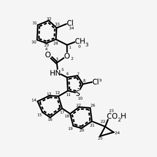 CC(OC(=O)Nc1cc(Cl)sc1-c1ccccc1-c1ccc(C2(C(=O)O)CC2)cc1)c1ccccc1Cl